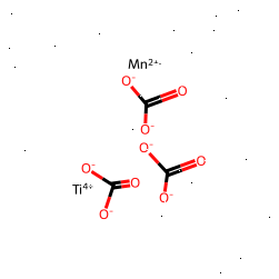 O=C([O-])[O-].O=C([O-])[O-].O=C([O-])[O-].[Mn+2].[Ti+4]